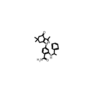 Cc1nn(-c2ccc(C(N)=O)c(NC(C)c3ccccc3)c2)c2c1C(=O)CC(C)(C)C2